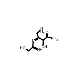 N=C(CO)N=C(CN)C(O)C(N)=O